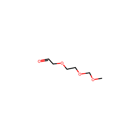 COCOCCOCC=O